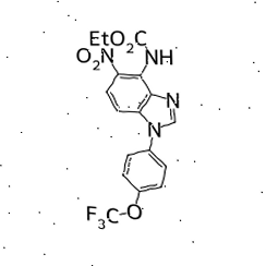 CCOC(=O)Nc1c([N+](=O)[O-])ccc2c1ncn2-c1ccc(OC(F)(F)F)cc1